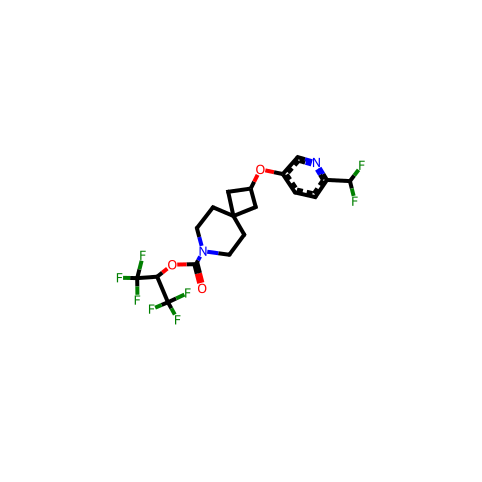 O=C(OC(C(F)(F)F)C(F)(F)F)N1CCC2(CC1)CC(Oc1ccc(C(F)F)nc1)C2